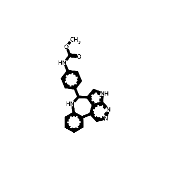 COC(=O)Nc1ccc(C2Nc3ccccc3-c3cnnc4[nH]cc2c34)cc1